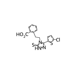 O=C(O)c1ccccc1CCn1c(-c2ccc(Cl)s2)n[nH]c1=S